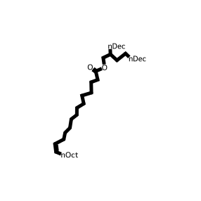 CCCCCCCC/C=C\CCCCCCCCCCCC(=O)OCC(CCCCCCCCCC)CCCCCCCCCCCC